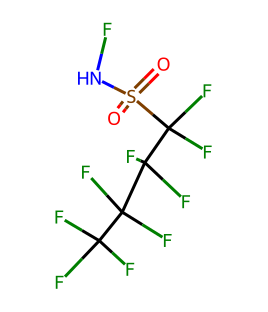 O=S(=O)(NF)C(F)(F)C(F)(F)C(F)(F)C(F)(F)F